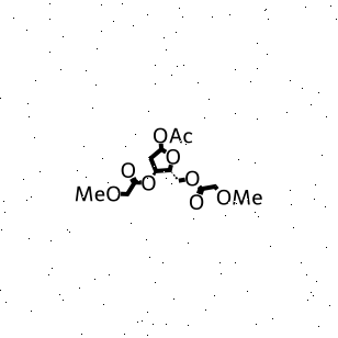 COCC(=O)OC[C@H]1OC(OC(C)=O)C[C@@H]1OC(=O)COC